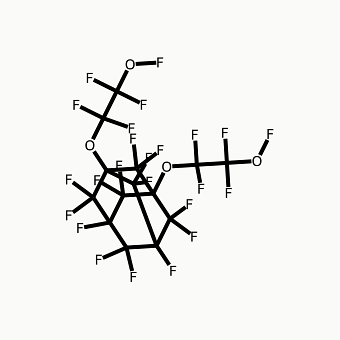 FOC(F)(F)C(F)(F)OC12C(F)(F)C3(F)C(F)(F)C(F)(C1(F)F)C(F)(F)C(OC(F)(F)C(F)(F)OF)(C3(F)F)C2(F)F